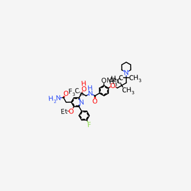 CCOc1c(CC(N)=O)cc([C@@](O)(CNC(=O)c2ccc(OCC(C)(C)CC(C)(C)N3CCCCC3)c(OC)c2)C(F)(F)F)nc1-c1ccc(F)cc1